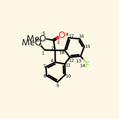 COCC1(C(=O)OC)c2ccccc2-c2c(F)cccc21